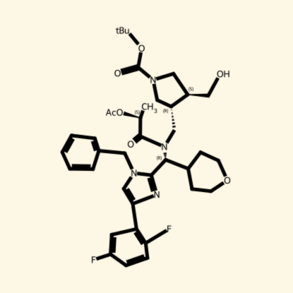 CC(=O)O[C@@H](C)C(=O)N(C[C@@H]1CN(C(=O)OC(C)(C)C)C[C@H]1CO)[C@@H](c1nc(-c2cc(F)ccc2F)cn1Cc1ccccc1)C1CCOCC1